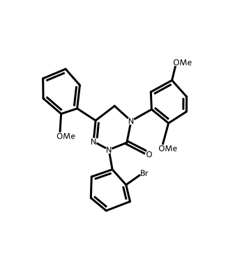 COc1ccc(OC)c(N2CC(c3ccccc3OC)=NN(c3ccccc3Br)C2=O)c1